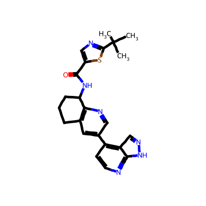 CC(C)(C)c1ncc(C(=O)NC2CCCc3cc(-c4ccnc5[nH]ncc45)cnc32)s1